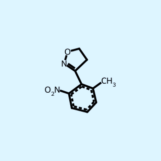 Cc1cccc([N+](=O)[O-])c1C1=NOCC1